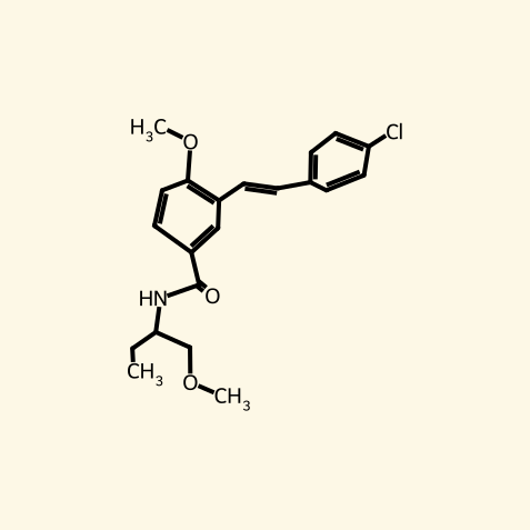 CCC(COC)NC(=O)c1ccc(OC)c(C=Cc2ccc(Cl)cc2)c1